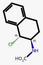 O=C(O)N[C@@H]1CCc2ccccc2[C@H]1Cl